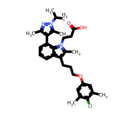 Cc1cc(OCCCc2c(C)n(CCC(=O)O)c3c(-c4c(C)nn(C(C)C)c4C)cccc23)cc(C)c1Cl